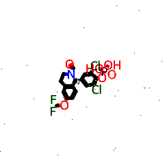 O=CN1CCc2cc(OC(F)F)ccc2[C@H]1c1cc(Cl)c(OP(=O)(O)O)c(Cl)c1